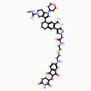 CNC(=O)N1CCc2c(c(C3CCCc4cc(-c5cnn(CC(=O)NCCOCCNc6ccc7c(c6)C(=O)C(CC6CCC(=O)NC6=O)C7=O)c5)c(C(F)F)cc43)cn2C2CCOCC2)C1